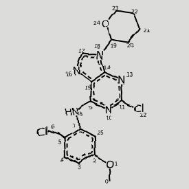 COc1ccc(Cl)c(Nc2nc(Cl)nc3c2ncn3C2CCCCO2)c1